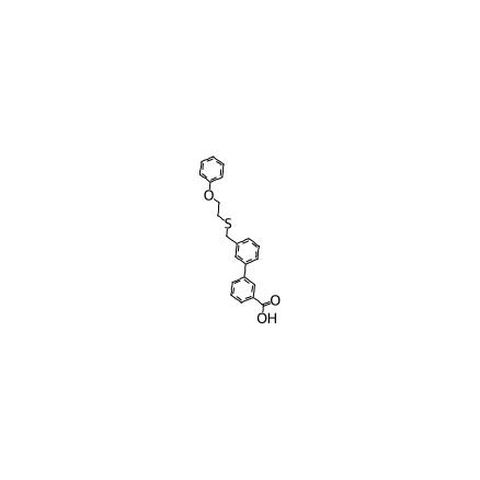 O=C(O)c1cccc(-c2cccc(CSCCOc3ccccc3)c2)c1